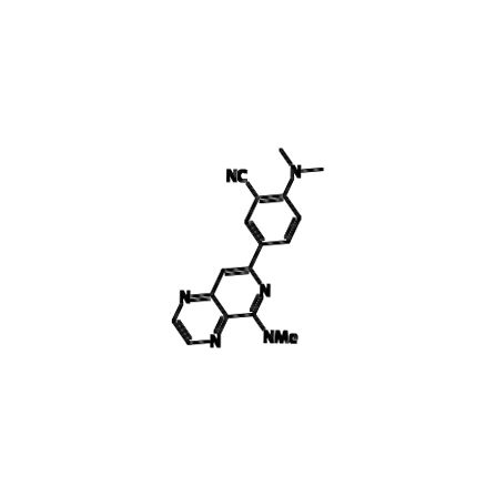 CNc1nc(-c2ccc(N(C)C)c(C#N)c2)cc2nccnc12